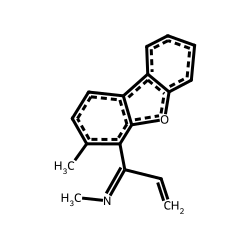 C=C/C(=N/C)c1c(C)ccc2c1oc1ccccc12